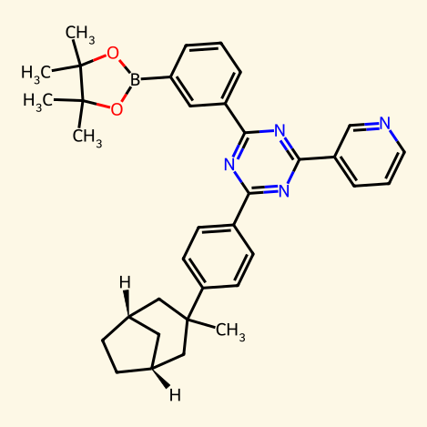 CC1(c2ccc(-c3nc(-c4cccnc4)nc(-c4cccc(B5OC(C)(C)C(C)(C)O5)c4)n3)cc2)C[C@@H]2CC[C@@H](C2)C1